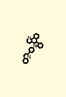 c1ccc2nc(-c3ccc(-n4c5ccccc5c5c6ccccc6c6ncccc6c54)cc3)ccc2c1